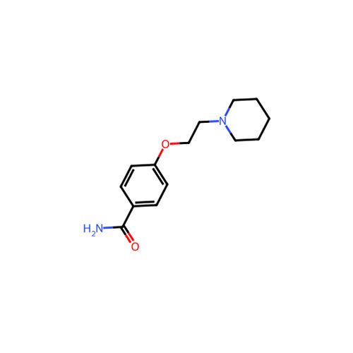 NC(=O)c1ccc(OCCN2CCCCC2)cc1